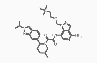 CC1CCC(c2ccc3cn(C(C)C)nc3c2)N(C(=O)C(=O)Nc2cnc(N)c3cnn(COCC[Si](C)(C)C)c23)C1